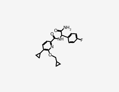 NC(=O)C(NC(=O)c1ccc(C2CC2)c(OCC2CC2)n1)c1ccc(F)cc1